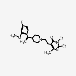 C=C(c1ccc(F)cc1ON)C1CCN(CCc2c(C)nc(CC)n(CC)c2=O)CC1